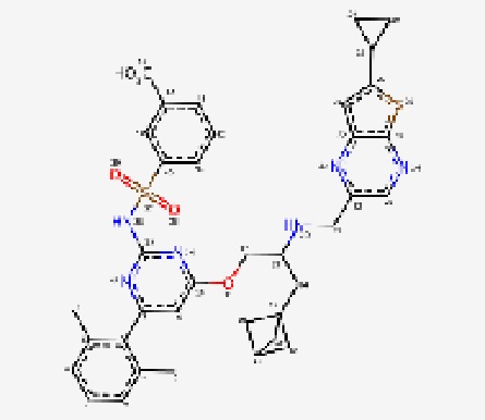 Cc1cccc(C)c1-c1cc(OCC(CC23CC(C2)C3)NCc2cnc3sc(C4CC4)cc3n2)nc(NS(=O)(=O)c2cccc(C(=O)O)c2)n1